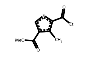 CCC(=O)c1scc(C(=O)OC)c1C